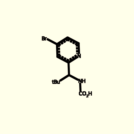 CC(C)(C)C(NC(=O)O)c1cc(Br)ccn1